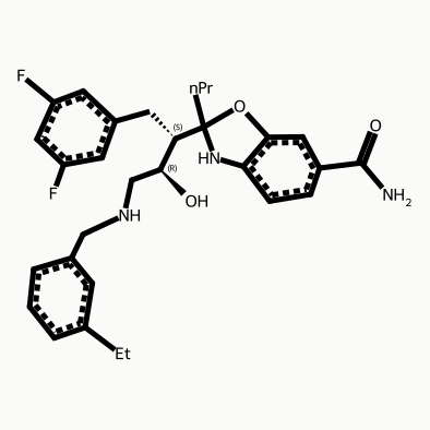 CCCC1([C@@H](Cc2cc(F)cc(F)c2)[C@@H](O)CNCc2cccc(CC)c2)Nc2ccc(C(N)=O)cc2O1